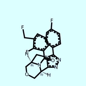 O=C(c1cccc(CF)c1F)N1[C@H]2COC[C@@H]1c1nnc(-c3ccc(F)cc3)n1C2